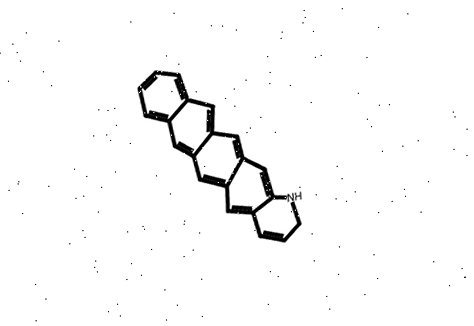 C1=Cc2cc3cc4cc5ccccc5cc4cc3cc2NC1